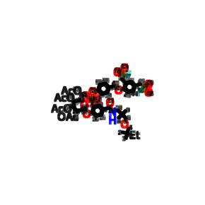 CCC(C)(C)COCC(C)(C)CNC(=O)c1ccc(O[C@H]2O[C@@H](COC(C)=O)[C@@H](OC(C)=O)[C@@H](OC(C)=O)[C@@H]2OC(C)=O)c(OS(=O)(=O)Oc2ccc(COc3ccc(CS(=O)(=O)F)cc3CS(=O)(=O)F)cc2)c1